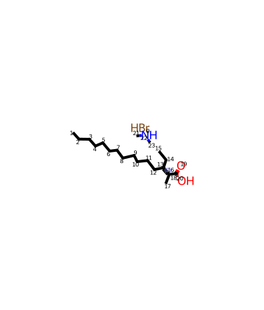 Br.CCCCCCCCCCCC/C(CC)=C(\C)C(=O)O.CNC